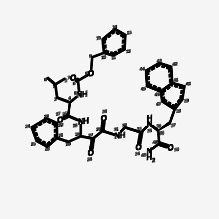 CC(C)CC(NC(=O)OCc1ccccc1)C(=O)NC(Cc1ccccc1)C(=O)C(=O)NCC(=O)N[C@@H](Cc1ccc2ccccc2c1)C(N)=O